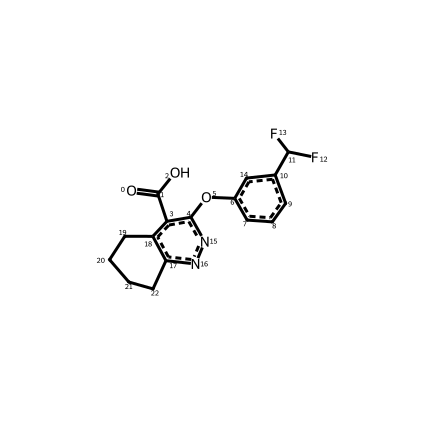 O=C(O)c1c(Oc2cccc(C(F)F)c2)nnc2c1CCCC2